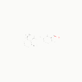 CC1CCCC(C)C1CCCC1CCCC(C=O)C1